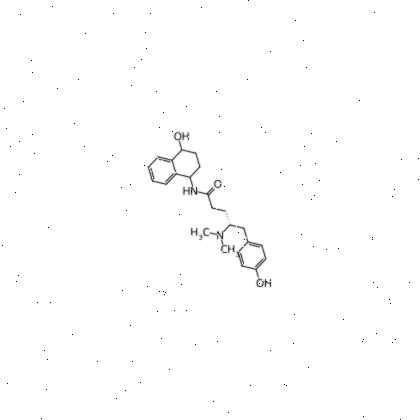 CN(C)[C@H](CCC(=O)NC1CCC(O)c2ccccc21)Cc1ccc(O)cc1